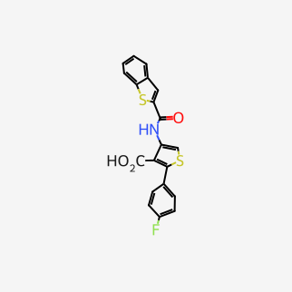 O=C(Nc1csc(-c2ccc(F)cc2)c1C(=O)O)c1cc2ccccc2s1